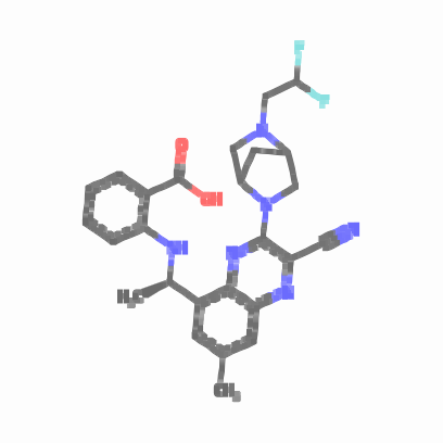 Cc1cc([C@@H](C)Nc2ccccc2C(=O)O)c2nc(N3CC4CC3CN4CC(F)F)c(C#N)nc2c1